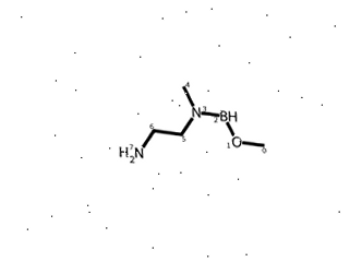 COBN(C)CCN